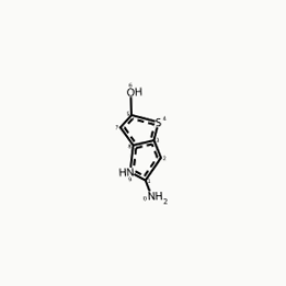 Nc1cc2sc(O)cc2[nH]1